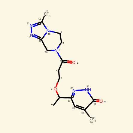 CC(OCCC(=O)N1CCn2c(nnc2C(F)(F)F)C1)c1cc(C(F)(F)F)c(=O)[nH]n1